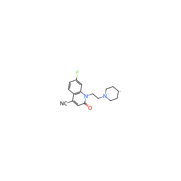 N#Cc1cc(=O)n(CCN2CC[CH]CC2)c2cc(F)ccc12